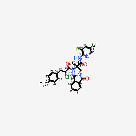 CC(CN1C(=O)c2ccccc2C1=O)(NC(=O)C(Cl)Cc1ccc(C(F)(F)F)cc1)C(=O)Nc1ncc(Cl)cc1F